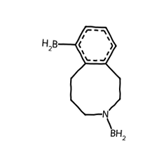 Bc1cccc2c1CCCN(B)CC2